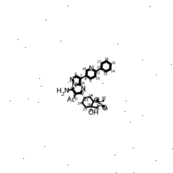 CC(=O)c1c(N)n2ncc(-c3ccc(-c4ccccc4)nc3)c2nc1[C@H]1CC[C@](O)(CS(C)(=O)=O)CC1